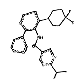 CC(C)c1ncc(C(=O)Nc2c(C3CCC(F)(F)CC3)ccnc2-c2ccccc2)cn1